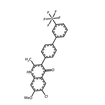 COc1cc2[nH]c(C)c(-c3ccc(-c4cccc(S(F)(F)(F)(F)F)c4)cc3)c(=O)c2cc1Cl